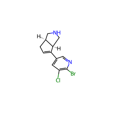 Clc1cc(C2=CC[C@H]3CNC[C@@H]23)cnc1Br